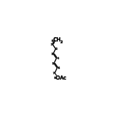 C=CCC=CC=CCOC(C)=O